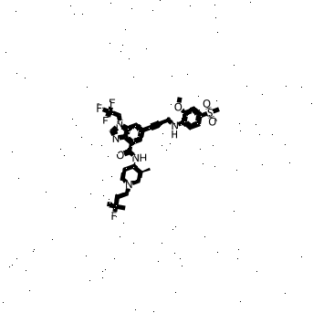 COc1cc(S(C)(=O)=O)ccc1NCC#Cc1cc(C(=O)N[C@H]2CCN(CCC(C)(C)F)C[C@@H]2C)c2ncn(CC(F)(F)F)c2c1